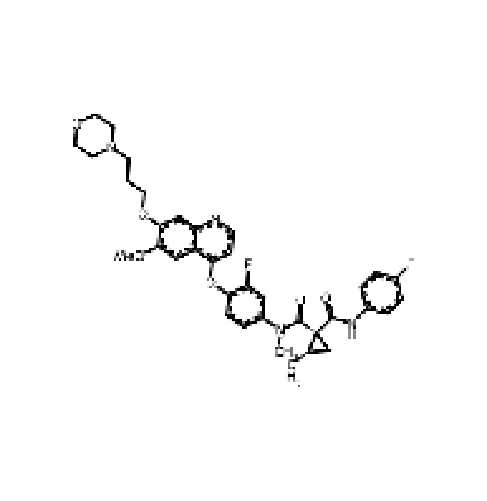 COc1cc2c(Oc3ccc(N(C)C(=O)[C@@]4(C(=O)Nc5ccc(F)cc5)C[C@H]4C)cc3F)ccnc2cc1OCCCN1CCOCC1